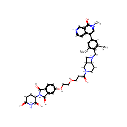 COc1cc(-c2cn(C)c(=O)c3cnccc23)cc(OC)c1CN1CC2CN(C(=O)CCOCCOc3ccc4c(c3)C(=O)N(C3CCC(=O)NC3=O)C4=O)CCC21